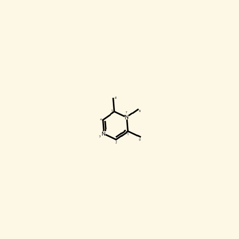 CC1=CN=CC(C)N1C